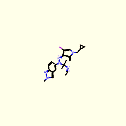 C=C1/C(=N\N(c2ccc3nn(C)cc3c2)C(C)(C)/N=C\C)C(I)=CN1CC1CC1